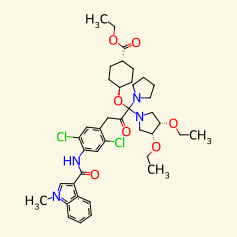 CCOC(=O)[C@H]1CC[C@H](OC(C(=O)Cc2cc(Cl)c(NC(=O)c3cn(C)c4ccccc34)cc2Cl)(N2CCCC2)N2C[C@H](OCC)[C@H](OCC)C2)CC1